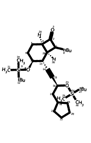 CCCCC1C(=O)[C@@H]2CC[C@H](O[Si](C)(C)C(C)(C)C)[C@@H](C#C[C@H](CC3CCCC3)O[Si](C)(C)C(C)(C)C)[C@H]12